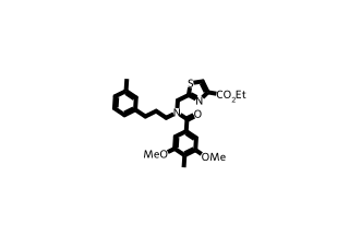 CCOC(=O)c1csc(CN(CCCc2cccc(C)c2)C(=O)c2cc(OC)c(C)c(OC)c2)n1